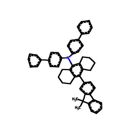 CC1(C)c2ccccc2-c2ccc(-c3c4c(c(N(c5ccc(-c6ccccc6)cc5)c5ccc(-c6ccccc6)cc5)c5c3CCCC5)CCCC4)cc21